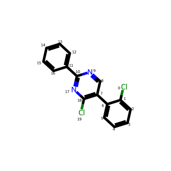 Clc1ccccc1-c1cnc(-c2ccccc2)nc1Cl